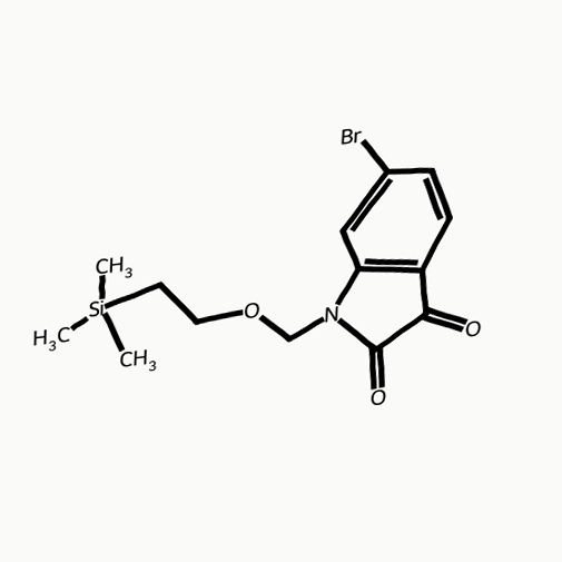 C[Si](C)(C)CCOCN1C(=O)C(=O)c2ccc(Br)cc21